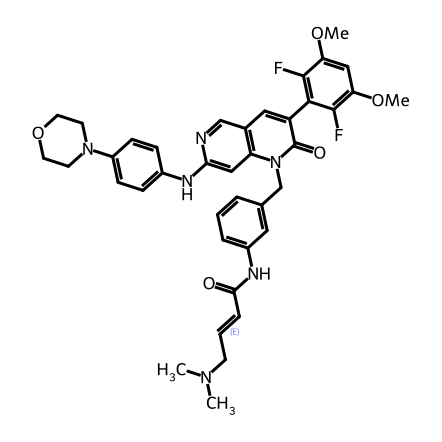 COc1cc(OC)c(F)c(-c2cc3cnc(Nc4ccc(N5CCOCC5)cc4)cc3n(Cc3cccc(NC(=O)/C=C/CN(C)C)c3)c2=O)c1F